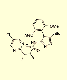 CCCCc1nnc(NS(=O)(=O)[C@@H](C)[C@H](C)c2ncc(Cl)cn2)n1-c1c(OC)cccc1OC